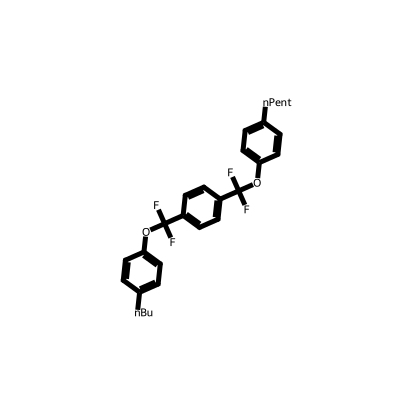 CCCCCc1ccc(OC(F)(F)c2ccc(C(F)(F)Oc3ccc(CCCC)cc3)cc2)cc1